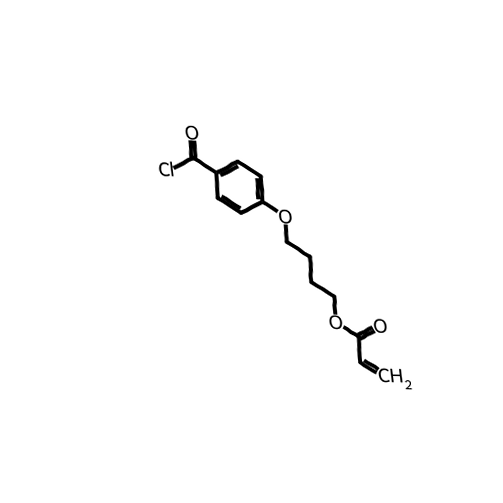 C=CC(=O)OCCCCOc1ccc(C(=O)Cl)cc1